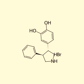 Br.Oc1ccc([C@@H]2CNC[C@H]2c2ccccc2)cc1O